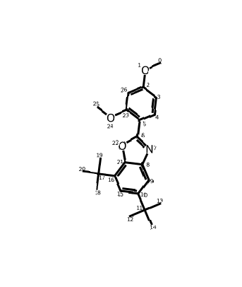 COc1ccc(-c2nc3cc(C(C)(C)C)cc(C(C)(C)C)c3o2)c(OC)c1